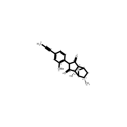 CC#Cc1ccc(C2C(=O)C3C4C[C@H](C)C(O4)[C@H]3C2=O)c(OC)c1